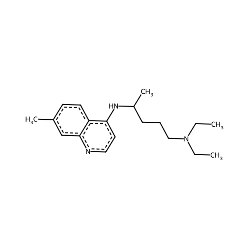 CCN(CC)CCCC(C)Nc1ccnc2cc(C)ccc12